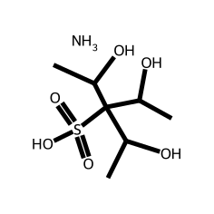 CC(O)C(C(C)O)(C(C)O)S(=O)(=O)O.N